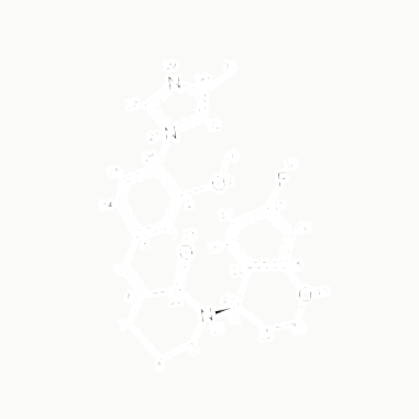 COc1cc(C=C2CCCN([C@@H]3CCOc4cc(F)ccc43)C2=O)ccc1-n1cnc(C)c1